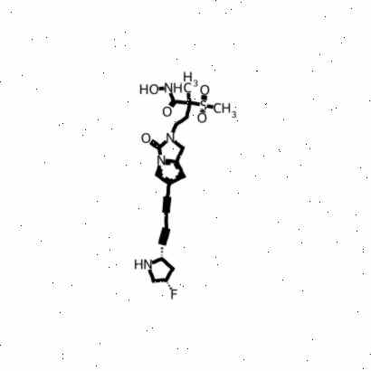 CC(CCN1Cc2cc(C#CC#C[C@@H]3C[C@H](F)CN3)cn2C1=O)(C(=O)NO)S(C)(=O)=O